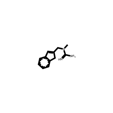 CN(CC1=Cc2ccccc2C1)C(=N)N